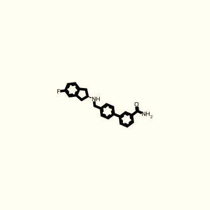 NC(=O)c1cccc(-c2ccc(CN[C@H]3Cc4ccc(F)cc4C3)cc2)c1